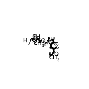 COC(=O)C1=Cc2c(cnn2COCC[Si](C)(C)C)OC1